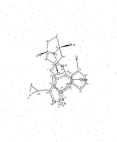 COc1cc(C(=O)O)cc2sc(N3[C@@H]4CC[C@H]3C[C@H](OCc3c(-c5cccc(F)c5)noc3C3CC3)C4)nc12